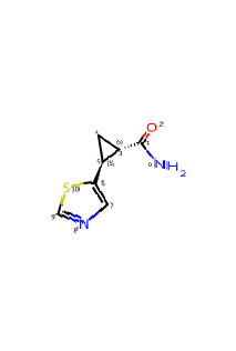 NC(=O)[C@H]1C[C@@H]1c1cncs1